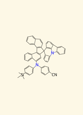 C[Si](C)(C)c1ccc(N(c2ccc(C#N)cc2)c2cc3c(c4ccccc24)-c2c(ccc4ccccc24)C32c3ccccc3-n3c4ccccc4c4cccc2c43)cc1